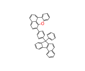 c1ccc(C2(c3ccc(-c4ccc5cccc6c5c4Oc4ccccc4-6)cc3)c3ccccc3-c3c2ccc2ccccc32)cc1